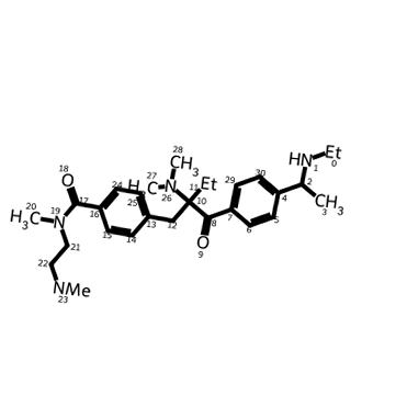 CCNC(C)c1ccc(C(=O)C(CC)(Cc2ccc(C(=O)N(C)CCNC)cc2)N(C)C)cc1